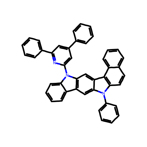 c1ccc(-c2cc(-c3ccccc3)nc(-n3c4ccccc4c4cc5c(cc43)c3c4ccccc4ccc3n5-c3ccccc3)c2)cc1